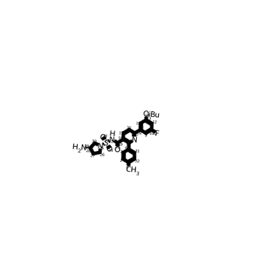 Cc1ccc(-c2nc(-c3cc(F)cc(OCC(C)C)c3)ccc2C(=O)NS(=O)(=O)N2CC[C@@H](N)C2)cc1